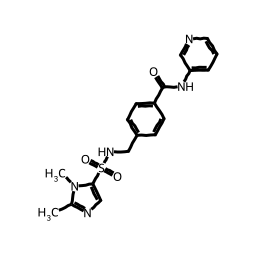 Cc1ncc(S(=O)(=O)NCc2ccc(C(=O)Nc3cccnc3)cc2)n1C